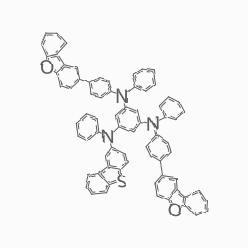 c1ccc(N(c2ccc(-c3ccc4oc5ccccc5c4c3)cc2)c2cc(N(c3ccccc3)c3ccc(-c4ccc5oc6ccccc6c5c4)cc3)cc(N(c3ccccc3)c3ccc4sc5ccccc5c4c3)c2)cc1